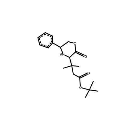 CC(C)(C)OC(=O)CC(C)(C)C1NC(c2ccccc2)COC1=O